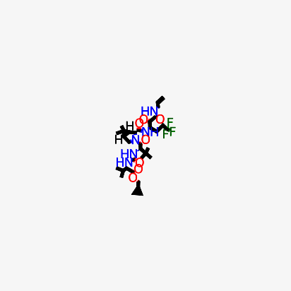 C=CCNC(=O)C(=O)C(CCC(F)(F)F)NC(=O)[C@@H]1[C@@H]2[C@H](CN1C(=O)[C@@H](NC(=O)N[C@H](C(=O)OCC1CC1)C(C)C)C(C)(C)C)C2(C)C